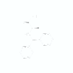 C[C@@H](NC(c1ccccc1)c1ccccc1)C(=O)O